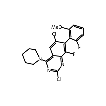 COc1cccc(F)c1-c1c(Cl)cc2c(N3CCCCC3)nc(Cl)nc2c1F